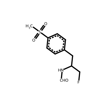 CS(=O)(=O)c1ccc(CC(CF)NC=O)cc1